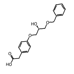 O=C(O)Cc1ccc(OC[C@@H](O)COCc2ccccc2)cc1